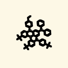 CCc1ccc(N2c3ccc(C(C)(C)C)cc3B3c4cc(C(C)(C)C)ccc4N(c4ccc(C(C)(C)C)cc4)c4cc(N(c5ccccc5)c5ccccc5)cc2c43)cc1